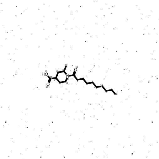 CCCCCCCCCC(=O)N1CCC(C(=O)O)CC1C